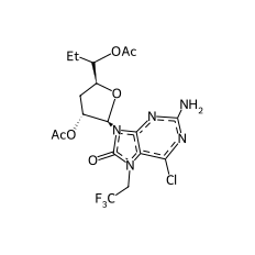 CCC(OC(C)=O)[C@@H]1C[C@@H](OC(C)=O)[C@H](n2c(=O)n(CC(F)(F)F)c3c(Cl)nc(N)nc32)O1